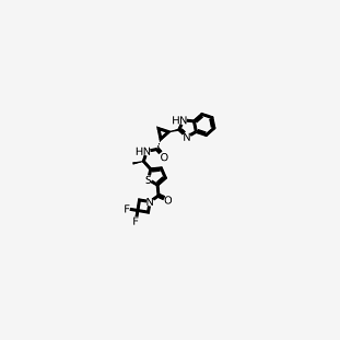 C[C@@H](NC(=O)[C@@H]1C[C@H]1c1nc2ccccc2[nH]1)c1ccc(C(=O)N2CC(F)(F)C2)s1